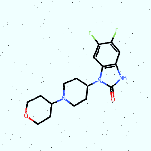 O=c1[nH]c2cc(F)c(F)cc2n1C1CCN(C2CCOCC2)CC1